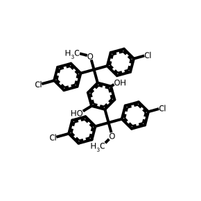 COC(c1ccc(Cl)cc1)(c1ccc(Cl)cc1)c1cc(O)c(C(OC)(c2ccc(Cl)cc2)c2ccc(Cl)cc2)cc1O